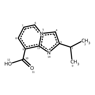 CC(C)c1cn2cccc(C(=O)O)c2n1